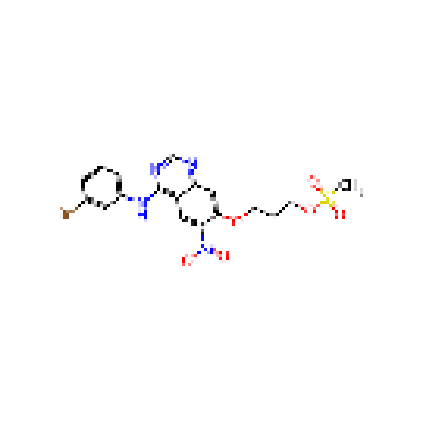 CS(=O)(=O)OCCCOc1cc2ncnc(Nc3cccc(Br)c3)c2cc1[N+](=O)[O-]